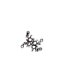 CC1CC(C2(C3(C4CC(C)C(N=C=O)CC4C)CC(C)C(N=C=O)CC3C)CCC(N=C=O)C(C)C2)CCC1N=C=O